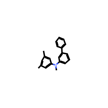 Cc1cc(C)cc(N(C)c2cccc(-c3ccccc3)c2)c1